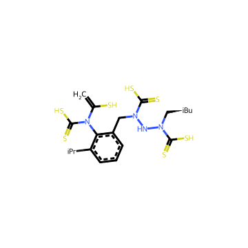 C=C(S)N(C(=S)S)c1c(CN(NN(C[C@H](C)CC)C(=S)S)C(=S)S)cccc1C(C)C